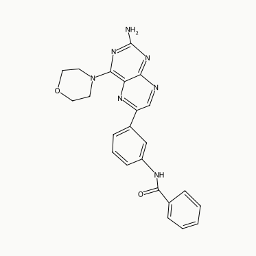 Nc1nc(N2CCOCC2)c2nc(-c3cccc(NC(=O)c4ccccc4)c3)cnc2n1